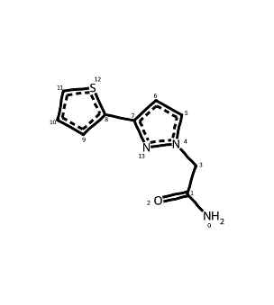 NC(=O)Cn1ccc(-c2cccs2)n1